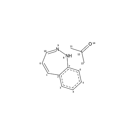 C1=Cc2ccccc2NN=C1.CC(C)=O